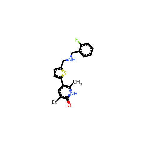 CCc1cc(-c2ccc(CNCc3ccccc3F)s2)c(C)[nH]c1=O